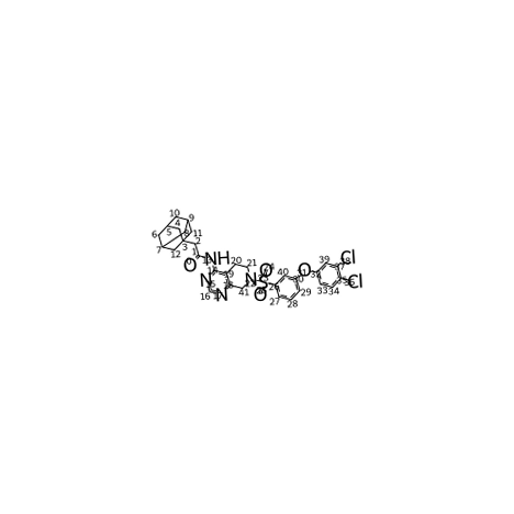 O=C(CC12CC3CC(CC(C3)C1)C2)Nc1ncnc2c1CCN(S(=O)(=O)c1cccc(Oc3ccc(Cl)c(Cl)c3)c1)C2